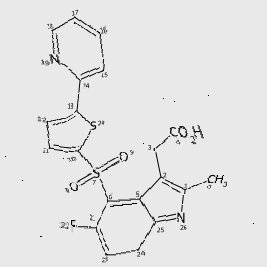 CC1=C(CC(=O)O)C2=C(S(=O)(=O)c3ccc(-c4ccccn4)s3)C(F)=CCC2=N1